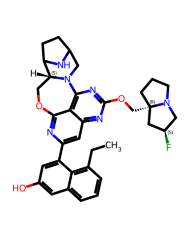 CCc1cccc2cc(O)cc(-c3cc4nc(OC[C@]56CCCN5C[C@@H](F)C6)nc5c4c(n3)OC[C@@H]3C4CCC(CN53)N4)c12